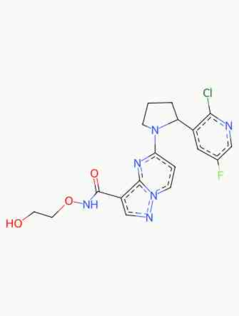 O=C(NOCCO)c1cnn2ccc(N3CCCC3c3cc(F)cnc3Cl)nc12